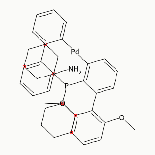 COc1cccc(OC)c1-c1ccc[c]([Pd][c]2ccccc2-c2ccccc2N)c1P(C1CCCCC1)C1CCCCC1